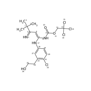 CC(C)(C)C(=N)/C=C(/NC(=O)OCC(Cl)(Cl)Cl)Nc1ccc(Cl)c(CCO)c1